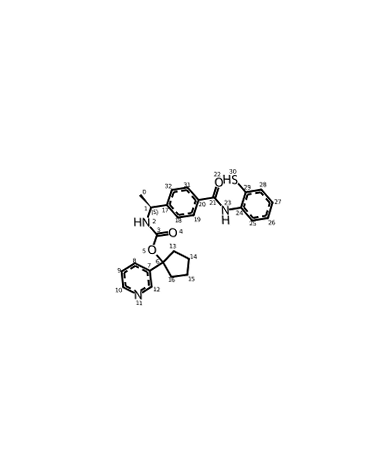 C[C@H](NC(=O)OC1(c2cccnc2)CCCC1)c1ccc(C(=O)Nc2ccccc2S)cc1